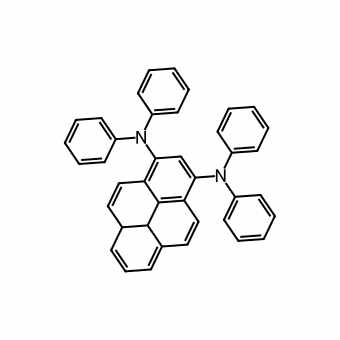 C1=CC2C=Cc3c(N(c4ccccc4)c4ccccc4)cc(N(c4ccccc4)c4ccccc4)c4c3C2C(=C1)C=C4